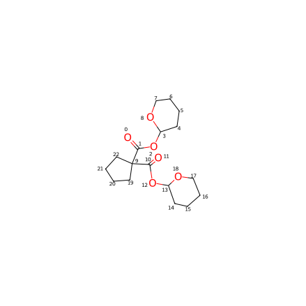 O=C(OC1CCCCO1)C1(C(=O)OC2CCCCO2)CCCC1